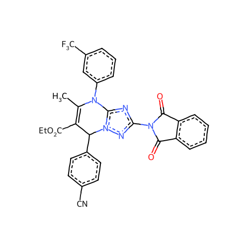 CCOC(=O)C1=C(C)N(c2cccc(C(F)(F)F)c2)c2nc(N3C(=O)c4ccccc4C3=O)nn2C1c1ccc(C#N)cc1